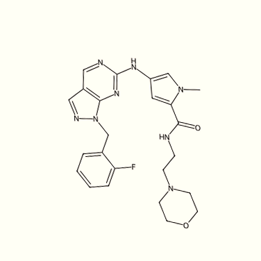 Cn1cc(Nc2ncc3cnn(Cc4ccccc4F)c3n2)cc1C(=O)NCCN1CCOCC1